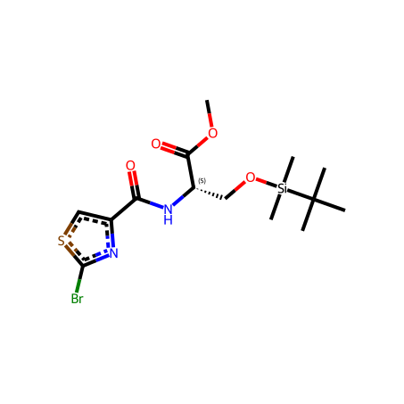 COC(=O)[C@H](CO[Si](C)(C)C(C)(C)C)NC(=O)c1csc(Br)n1